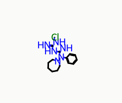 N=C(NCl)NC(=N)N(c1ccccc1)N1CCCCCC1